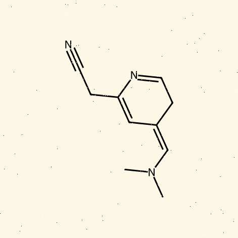 CN(C)C=C1C=C(CC#N)N=CC1